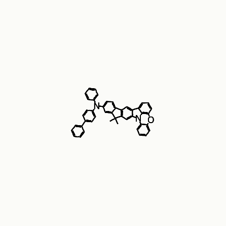 CC1(C)c2cc(N(c3ccccc3)c3ccc(-c4ccccc4)cc3)ccc2-c2cc3c4cccc5c4n(c3cc21)-c1ccccc1O5